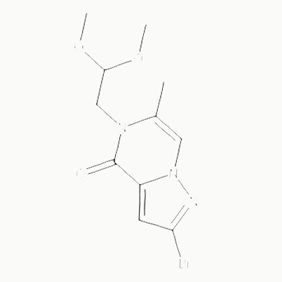 COC(Cn1c(C)cn2nc(Br)cc2c1=O)OC